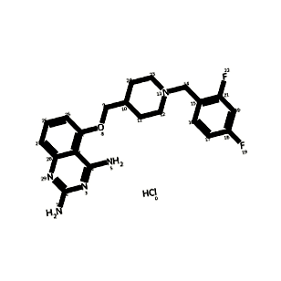 Cl.Nc1nc(N)c2c(OCC3CCN(Cc4ccc(F)cc4F)CC3)cccc2n1